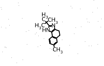 Cc1ccc2c(c1)CCc1nc(C(C)(C)C)[nH]c1-2